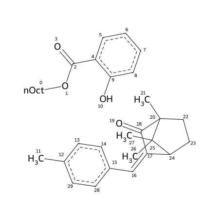 CCCCCCCCOC(=O)c1ccccc1O.Cc1ccc(C=C2C(=O)C3(C)CCC2C3(C)C)cc1